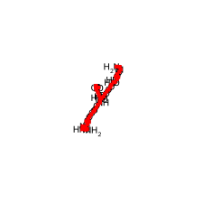 Nc1ccnc(OCc2ccc(CNC(=O)NCCOCCOCCOCCNC(=O)C(CC(=O)NCCOCCOCCOCCOCc3ccc(COc4nc(N)nc5[nH]cnc45)cc3)NC(=O)CCCCCN3C(=O)C=CC3=O)cc2)n1